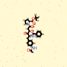 CC(=O)Nc1ccc(CC(NC(=O)c2ccccc2)C(=O)CCC(=O)N2CCC[C@H]2C(=O)OC(C)(C)C)cc1